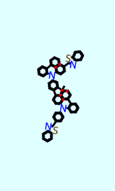 CC1(C)c2cc(N(c3ccc(-c4nc5ccccc5s4)cc3)c3ccccc3-c3ccccc3)ccc2-c2ccc(N(c3ccc(-c4nc5ccccc5s4)cc3)c3ccccc3-c3ccccc3)cc21